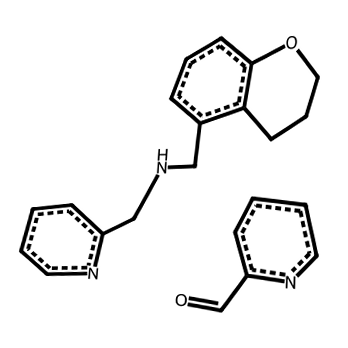 O=Cc1ccccn1.c1ccc(CNCc2cccc3c2CCCO3)nc1